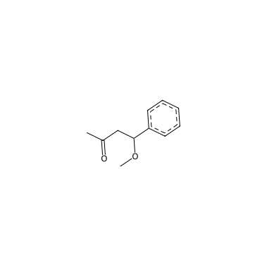 COC(CC(C)=O)c1ccccc1